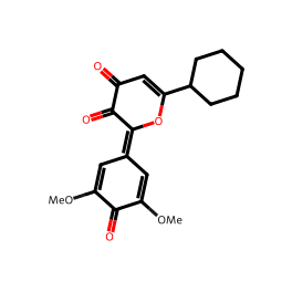 COC1=CC(=C2OC(C3CCCCC3)=CC(=O)C2=O)C=C(OC)C1=O